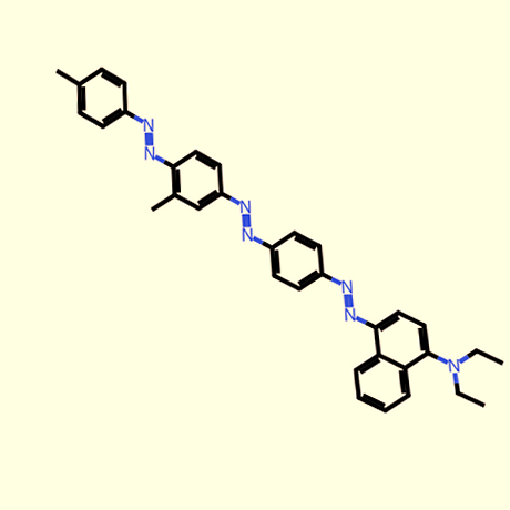 CCN(CC)c1ccc(N=Nc2ccc(N=Nc3ccc(N=Nc4ccc(C)cc4)c(C)c3)cc2)c2ccccc12